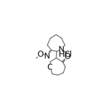 CON=C1CCCCCN(C)C1C1CCCCCCC1=O.Cl